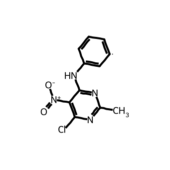 Cc1nc(Cl)c([N+](=O)[O-])c(Nc2c[c]ccc2)n1